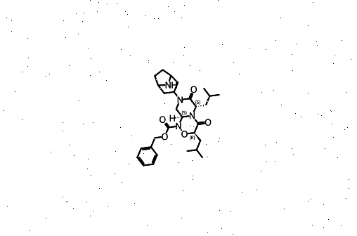 CC(C)C[C@H]1ON(C(=O)OCc2ccccc2)[C@H]2CN(C3CC4CCC(C3)N4)C(=O)[C@H](CC(C)C)N2C1=O